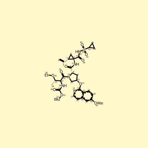 C=C[C@@H]1C[C@]1(NC(=O)[C@@H]1C[C@@H](Oc2nccc3cc(OC)ccc23)CN1C(=O)C(NC(=O)OC(C)(C)C)[C@H](C)OCC)C(=O)NS(=O)(=O)C1CC1